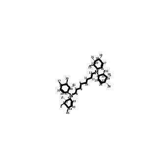 C[C@H]1[C@H](C)[C@@H](N(CCCCCCCCN([C@H]2C=C[C@@H](C)[C@@H](C)[C@@H]2C)[C@H]2C=C[C@@H](C)[C@@H](C)[C@@H]2C)[C@H]2C=C[C@@H](C)[C@@H](C)[C@@H]2C)C=C[C@H]1C